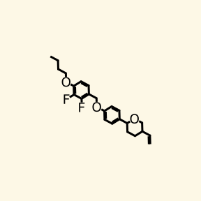 C=CC1CCC(c2ccc(OCc3ccc(OCCCC)c(F)c3F)cc2)OC1